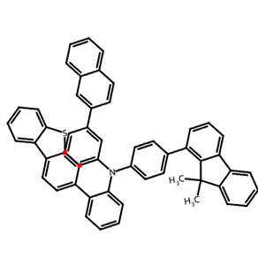 CC1(C)c2ccccc2-c2cccc(-c3ccc(N(c4cccc(-c5ccc6ccccc6c5)c4)c4ccccc4-c4ccc5c(c4)sc4ccccc45)cc3)c21